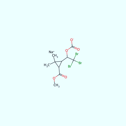 COC(=O)C1C(C(OC(=O)[O-])C(Br)(Br)Br)C1(C)C.[Na+]